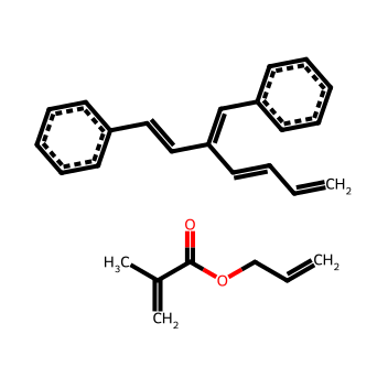 C=CC=CC(C=Cc1ccccc1)=Cc1ccccc1.C=CCOC(=O)C(=C)C